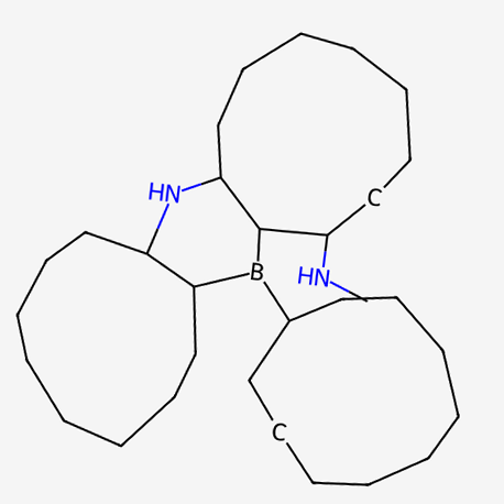 CNC1CCCCCCCC2NC3CCCCCCCCC3B(C3CCCCCCCCC3)C12